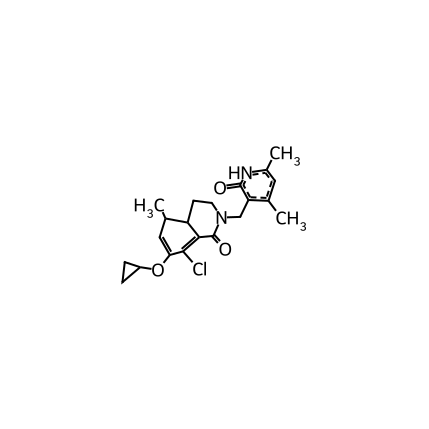 Cc1cc(C)c(CN2CCC3C(=C(Cl)C(OC4CC4)=CC3C)C2=O)c(=O)[nH]1